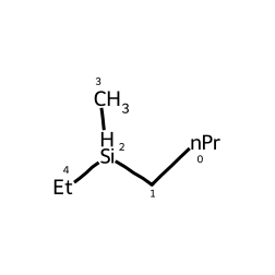 CCCC[SiH](C)CC